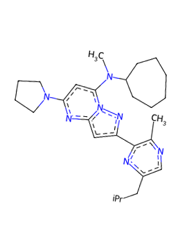 Cc1ncc(CC(C)C)nc1-c1cc2nc(N3CCCC3)cc(N(C)C3CCCCCC3)n2n1